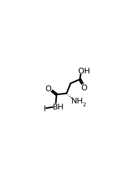 N[C@@H](CC(=O)O)C(=O)BI